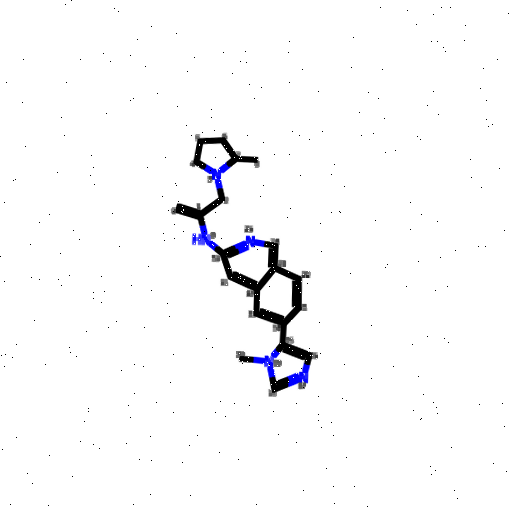 C=C(CN1CCCC1C)Nc1cc2cc(-c3cncn3C)ccc2cn1